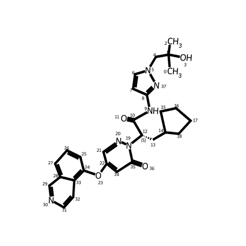 CC(C)(O)Cn1ccc(NC(=O)[C@H](CC2CCCC2)n2ncc(Oc3cccc4cnccc34)cc2=O)n1